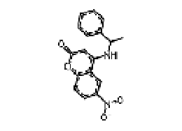 CC(Nc1cc(=O)oc2ccc([N+](=O)[O-])cc12)c1ccccc1